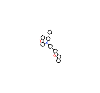 c1ccc(-c2ccc(N(c3ccc(-c4ccc5c(c4)oc4c6ccccc6ccc54)cc3)c3cccc4oc5ccccc5c34)cc2)cc1